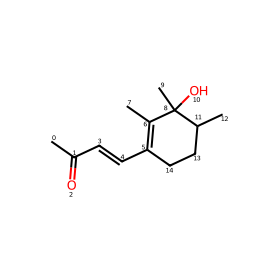 CC(=O)C=CC1=C(C)C(C)(O)C(C)CC1